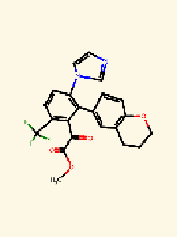 COC(=O)C(=O)c1c(C(F)(F)F)ccc(-n2ccnc2)c1-c1ccc2c(c1)CCCO2